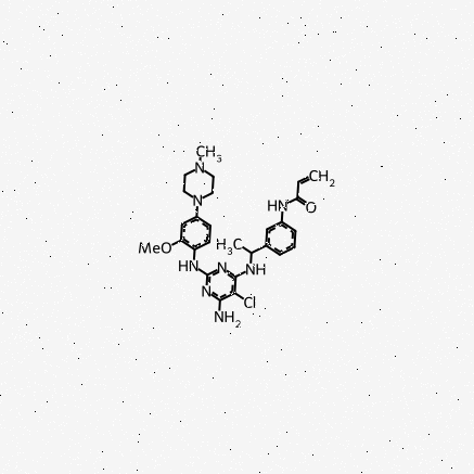 C=CC(=O)Nc1cccc(C(C)Nc2nc(Nc3ccc(N4CCN(C)CC4)cc3OC)nc(N)c2Cl)c1